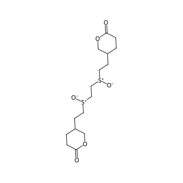 O=C1CCC(CC[S+]([O-])CC[S+]([O-])CCC2CCC(=O)OC2)CO1